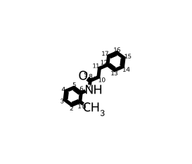 Cc1ccccc1NC(=O)[CH]Cc1ccccc1